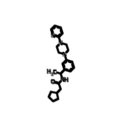 CC(NC(=O)CC1CCCC1)c1cccc(N2CCN(c3ccccn3)CC2)c1